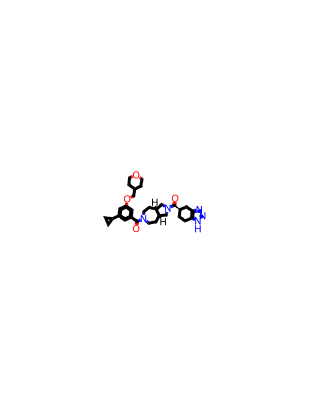 O=C(c1cc(OCC2CCOCC2)cc(C2CC2)c1)N1CC[C@@H]2CN(C(=O)[C@@H]3CCc4[nH]nnc4C3)C[C@@H]2CC1